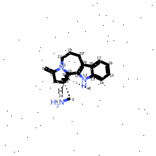 C=C1C[C@H]2[C@H](CN)[C@@H](C)C[C@]23c2[nH]c4ccccc4c2CCCN13